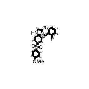 COc1ccc(S(=O)(=O)N2CCC3(CC2)NCC(=O)N3Cc2ccccc2F)cc1